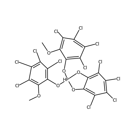 COc1c(Cl)c(Cl)c(Cl)c(Cl)c1O[PH]1(Oc2c(Cl)c(Cl)c(Cl)c(Cl)c2OC)Oc2c(Cl)c(Cl)c(Cl)c(Cl)c2O1